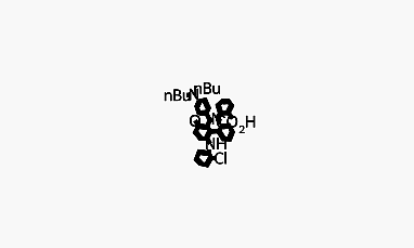 CCCCN(CCCC)c1ccc2c(c1)Oc1ccc(Nc3ccccc3Cl)c(-c3ccccc3)c1C2N(C(=O)O)c1ccccc1C